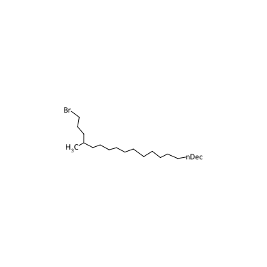 CCCCCCCCCCCCCCCCCCCCCC(C)CCCBr